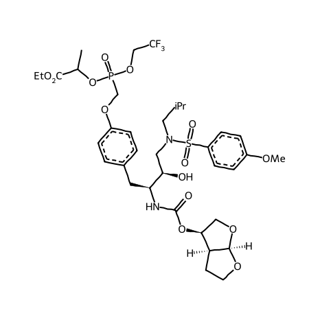 CCOC(=O)C(C)OP(=O)(COc1ccc(C[C@H](NC(=O)O[C@H]2CO[C@H]3OCC[C@H]32)[C@H](O)CN(CC(C)C)S(=O)(=O)c2ccc(OC)cc2)cc1)OCC(F)(F)F